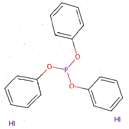 I.I.c1ccc(OP(Oc2ccccc2)Oc2ccccc2)cc1